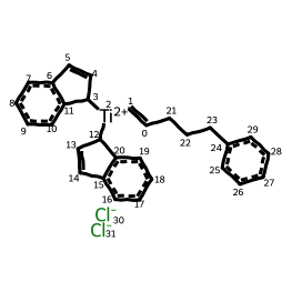 C(=[CH][Ti+2]([CH]1C=Cc2ccccc21)[CH]1C=Cc2ccccc21)CCCc1ccccc1.[Cl-].[Cl-]